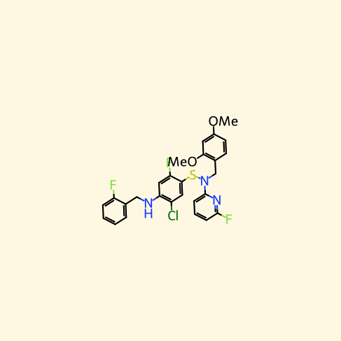 COc1ccc(CN(Sc2cc(Cl)c(NCc3ccccc3F)cc2F)c2cccc(F)n2)c(OC)c1